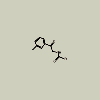 Cc1cccc(C(=S)CNC(=O)C(C)C)c1